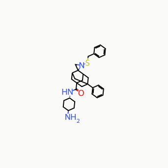 N[C@H]1CC[C@H](NC(=O)C23CC4CC(c5ccccc5)(CC(C2)C42CN2SCc2ccccc2)C3)CC1